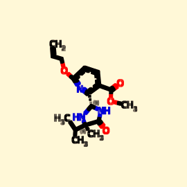 C=CCOc1ccc(C(=O)OC)c([C@@H]2NC(=O)[C@](C)(C(C)C)N2)n1